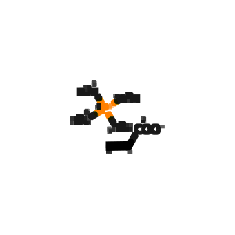 C=CC(=O)[O-].CCCC[P+](CCCC)(CCCC)CCCC